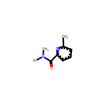 [CH2]c1cccc(C(=O)N(C)CC)n1